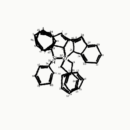 CC1=Cc2ccccc2[CH]1[Zr]([CH2]c1ccccc1)([CH2]c1ccccc1)([CH]1C(C)=Cc2ccccc21)[SiH](c1ccccc1)c1ccccc1